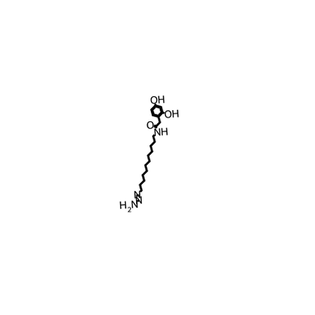 NN=NCCCCCCCCCCCCNC(=O)Cc1ccc(O)cc1O